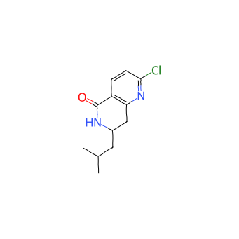 CC(C)CC1Cc2nc(Cl)ccc2C(=O)N1